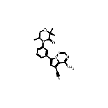 CC1COC(C)(C)C(=O)N1c1cccc(-c2cc(C#N)c3c(N)ncnn23)c1